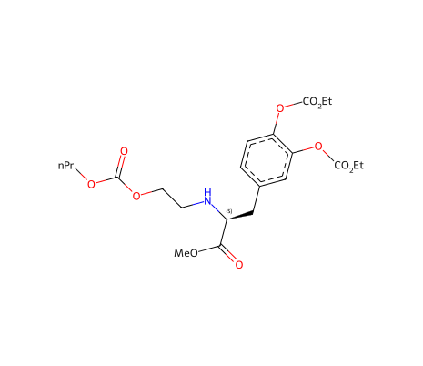 CCCOC(=O)OCCN[C@@H](Cc1ccc(OC(=O)OCC)c(OC(=O)OCC)c1)C(=O)OC